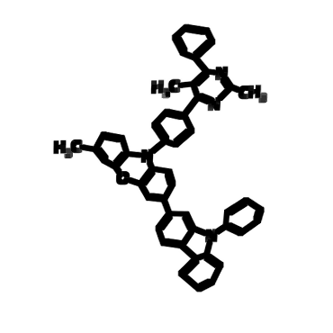 Cc1ccc2c(c1)Oc1cc(-c3ccc4c5ccccc5n(-c5ccccc5)c4c3)ccc1N2c1ccc(-c2nc(C)nc(-c3ccccc3)c2C)cc1